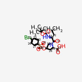 C=CC[C@H](NC(=O)OC(C)(C)C)C(=O)N1C[C@@H](OS(=O)(=O)c2ccc(Br)cc2)C[C@H]1C(=O)O